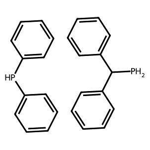 PC(c1ccccc1)c1ccccc1.c1ccc(Pc2ccccc2)cc1